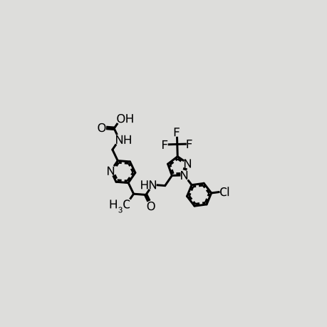 CC(C(=O)NCc1cc(C(F)(F)F)nn1-c1cccc(Cl)c1)c1ccc(CNC(=O)O)nc1